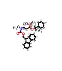 CN(C(=O)OCC1c2ccccc2-c2ccccc21)[C@@H](CC(=O)OC(C)(C)c1ccccc1)C(=O)O